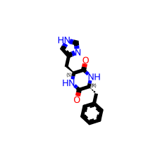 O=C1N[C@H](Cc2ccccc2)C(=O)N[C@H]1Cc1c[nH]cn1